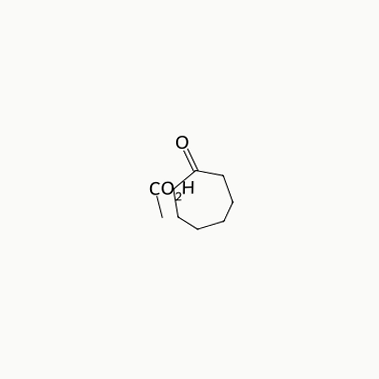 CC(=O)O.O=C1CCCCCC1